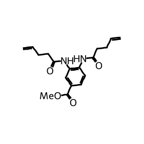 C=CCCC(=O)Nc1ccc(C(=O)OC)cc1NC(=O)CCC=C